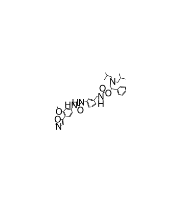 COc1cc(NC(=O)Nc2cccc(CNC(=O)OC(CN(CC(C)C)CC(C)C)c3ccccc3)c2)ccc1-c1cnco1